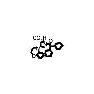 O=C(O)[C@@H]1C[C@H](N2CCCOc3ccccc32)CN1C(=O)C(c1ccccc1)c1ccccc1